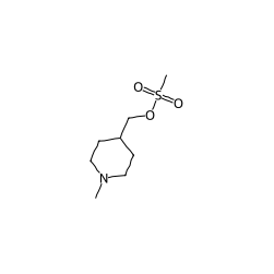 CN1CCC(COS(C)(=O)=O)CC1